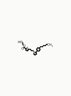 CCCCCCc1ccc(-c2cccn2CCCc2ccc(C(=O)OCCO)s2)cc1